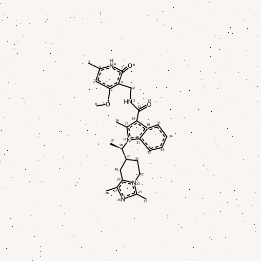 COc1cc(C)[nH]c(=O)c1CNC(=O)c1c(C)n([C@H](C)C2CCn3c(C)nc(C)c3C2)c2ccccc12